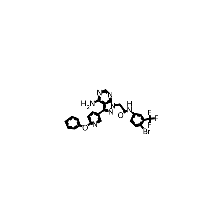 Nc1ncnc2c1c(-c1ccc(Oc3ccccc3)nc1)nn2CC(=O)Nc1ccc(Br)c(C(F)(F)F)c1